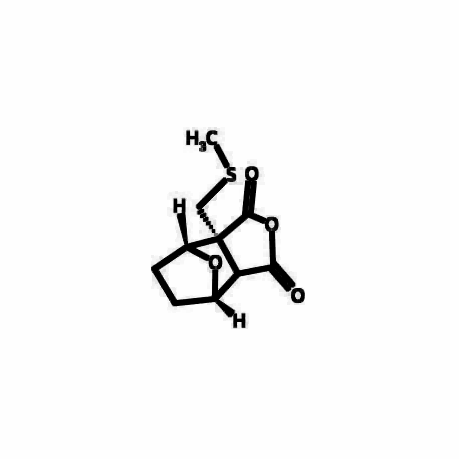 CSC[C@]12C(=O)OC(=O)C1[C@@H]1CC[C@H]2O1